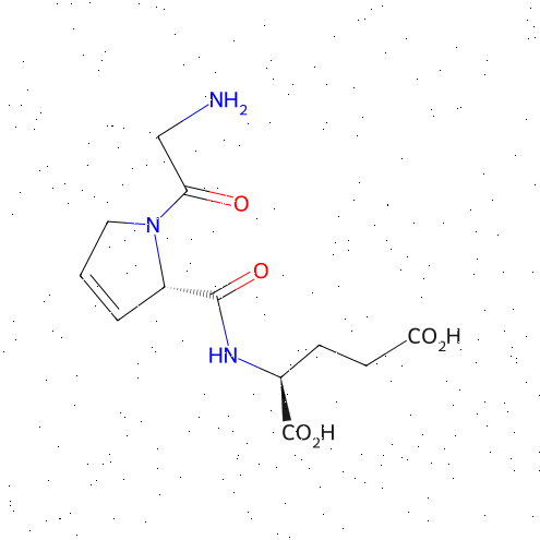 NCC(=O)N1CC=C[C@H]1C(=O)N[C@@H](CCC(=O)O)C(=O)O